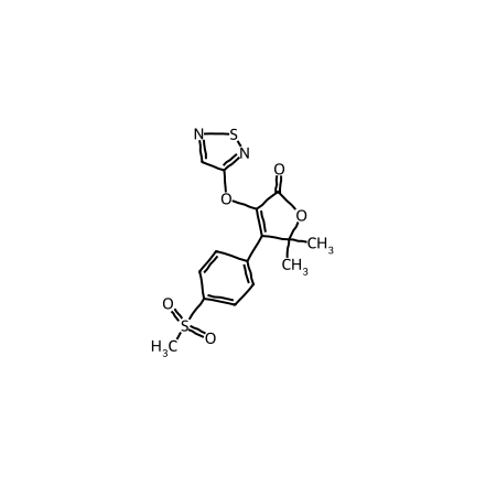 CC1(C)OC(=O)C(Oc2cnsn2)=C1c1ccc(S(C)(=O)=O)cc1